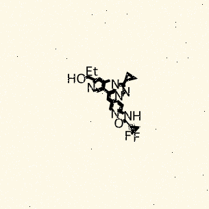 CCC(O)c1cc(C)c(-c2cc3cnc(NC(=O)[C@H]4CC4(F)F)cc3n3nc(C4CC4)nc23)cn1